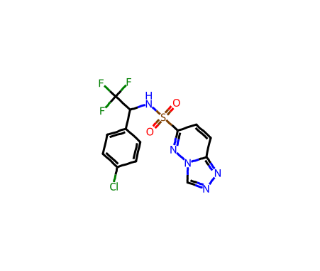 O=S(=O)(NC(c1ccc(Cl)cc1)C(F)(F)F)c1ccc2nncn2n1